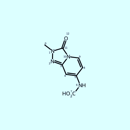 Cn1nc2cc(NC(=O)O)ccn2c1=O